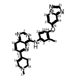 Cc1cc(Nc2ncnc3ccc(C4=CCN(C)CC4)nc23)ccc1Oc1ccn2ncnc2c1